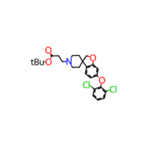 CC(C)(C)OC(=O)CCN1CCC2(CC1)COc1cc(Oc3c(Cl)cccc3Cl)ccc12